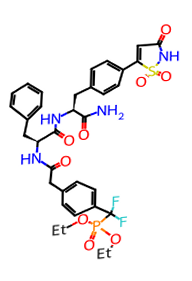 CCOP(=O)(OCC)C(F)(F)c1ccc(CC(=O)N[C@@H](Cc2ccccc2)C(=O)N[C@@H](Cc2ccc(C3=CC(=O)NS3(=O)=O)cc2)C(N)=O)cc1